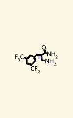 NC/C(=C\c1cc(C(F)(F)F)cc(C(F)(F)F)c1)C(N)=O